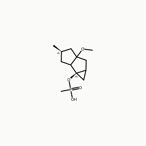 COC12CC3C[C@]3(OP(C)(=O)O)C1C[C@@H](C)C2